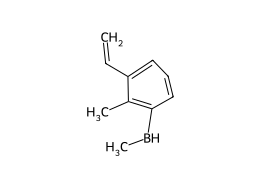 C=Cc1cccc(BC)c1C